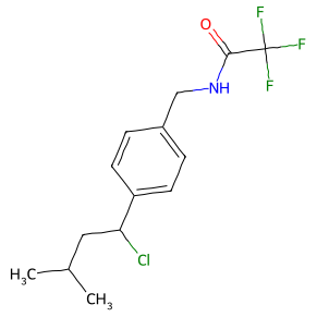 CC(C)CC(Cl)c1ccc(CNC(=O)C(F)(F)F)cc1